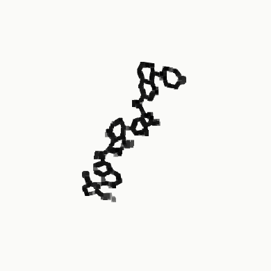 O=C1CCC(C(F)(F)F)N1c1nccc2cc(Nc3n[nH]c4c(-c5cnc6[nH]nc(Nc7cnc8c(N9CCOCC9)cccc8c7)c6c5)ccnc34)ccc12